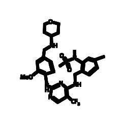 COc1cc(CNC2CCOCC2)ccc1Nc1ncc(C(F)(F)F)c(NCc2ccc(C)cc2N(C)S(C)(=O)=O)n1